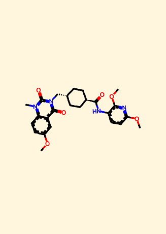 COc1ccc2c(c1)c(=O)n(C[C@H]1CC[C@H](C(=O)Nc3ccc(OC)nc3OC)CC1)c(=O)n2C